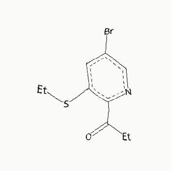 CCSc1cc(Br)cnc1C(=O)CC